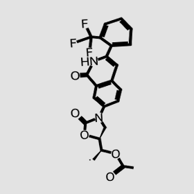 [CH2][C@H](OC(C)=O)[C@@H]1CN(c2ccc3cc(-c4ccccc4C(F)(F)F)[nH]c(=O)c3c2)C(=O)O1